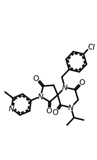 Cc1cc(N2C(=O)CC3(C2=O)C(=O)N(C(C)C)CC(=O)N3Cc2ccc(Cl)cc2)ccn1